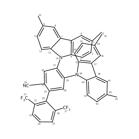 Cc1ccc2c(c1)c1cc(C)ccc1n2-c1cc(C#N)c(-c2c(C(F)(F)F)cccc2C(F)(F)F)cc1-n1c2ccc(C)cc2c2cc(C)ccc21